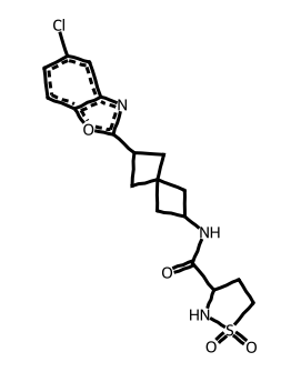 O=C(NC1CC2(C1)CC(c1nc3cc(Cl)ccc3o1)C2)C1CCS(=O)(=O)N1